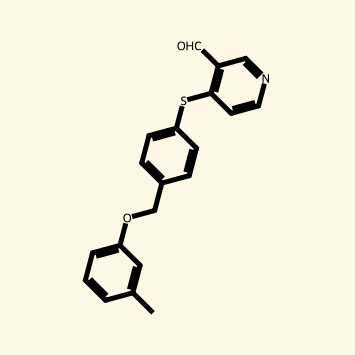 Cc1cccc(OCc2ccc(Sc3ccncc3C=O)cc2)c1